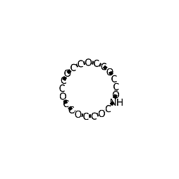 C1COCCOCCOCNOCCOCCOCCO1